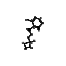 Cc1cccnc1OCCC1(C)CCC1